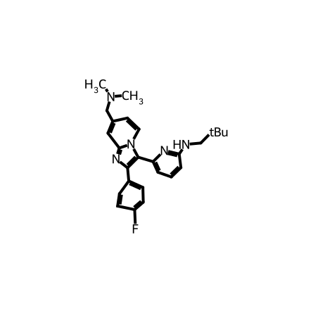 CN(C)Cc1ccn2c(-c3cccc(NCC(C)(C)C)n3)c(-c3ccc(F)cc3)nc2c1